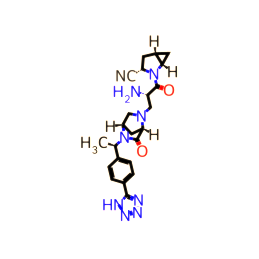 C[C@H](c1ccc(-c2nnn[nH]2)cc1)N1C(=O)[C@@H]2C[C@H]1CN2C[C@H](N)C(=O)N1[C@H](C#N)C[C@@H]2C[C@@H]21